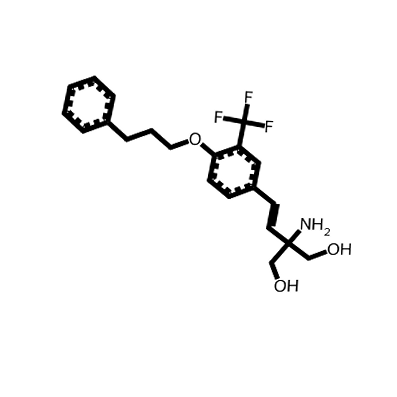 NC(C=Cc1ccc(OCCCc2ccccc2)c(C(F)(F)F)c1)(CO)CO